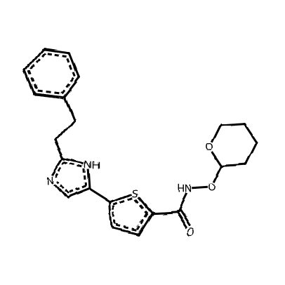 O=C(NOC1CCCCO1)c1ccc(-c2cnc(CCc3ccccc3)[nH]2)s1